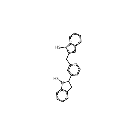 SN1c2ccccc2CC1c1cccc(Cc2cc3ccccc3n2S)c1